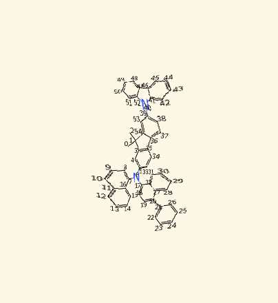 CC1(C)c2cc(N(c3cccc4ccccc34)c3ccc(-c4ccccc4)c4ccccc34)ccc2-c2ccc(-n3c4ccccc4c4ccccc43)cc21